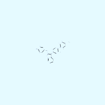 COc1ccc(-c2ccc(-c3c(Cc4ccc(F)cc4)sc4ccccc34)cc2)cc1